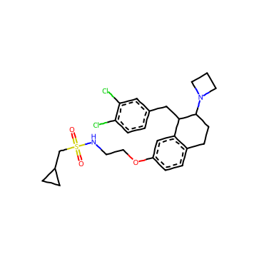 O=S(=O)(CC1CC1)NCCOc1ccc2c(c1)C(Cc1ccc(Cl)c(Cl)c1)C(N1CCC1)CC2